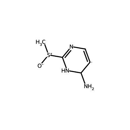 C[S+]([O-])C1=NC=[C]C(N)N1